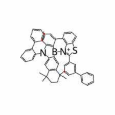 Cc1cc2c3c(c1)N(c1ccccc1-c1ccccc1)c1cc4c(cc1B3[n+]1c(-c3cccc(-c5ccccc5)c3)sc3cccc-2c31)C(C)(C)CCC4(C)C